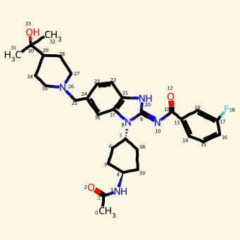 CC(=O)N[C@H]1CC[C@H](n2/c(=N/C(=O)c3cccc(F)c3)[nH]c3ccc(CN4CCC(C(C)(C)O)CC4)cc32)CC1